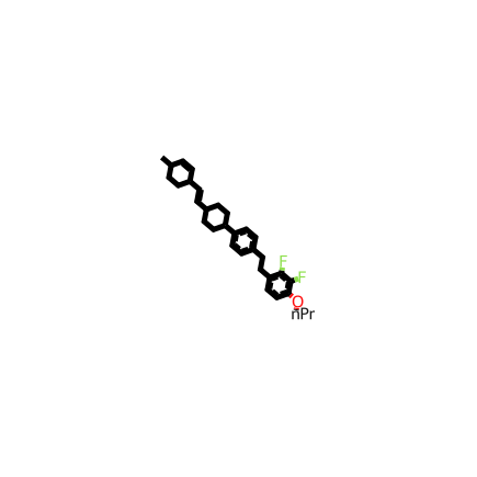 CCCOc1ccc(CCc2ccc(C3CCC(/C=C/C4C=CC(C)CC4)CC3)cc2)c(F)c1F